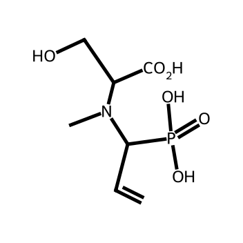 C=CC(N(C)C(CO)C(=O)O)P(=O)(O)O